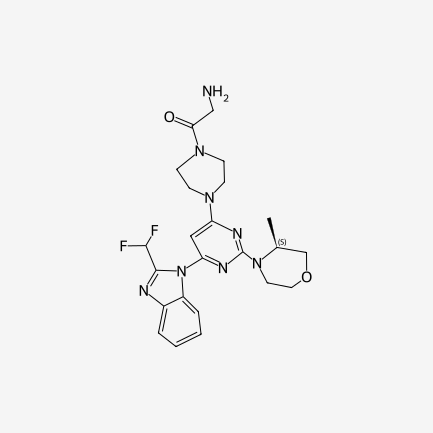 C[C@H]1COCCN1c1nc(N2CCN(C(=O)CN)CC2)cc(-n2c(C(F)F)nc3ccccc32)n1